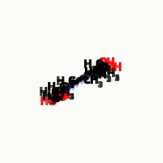 C\C(C=C=C1C(C)(C)C[C@H](O)C[C@@]1(C)O)=C/C=C/C(C)=C/C=C/C=C(C)/C=C/C=C(\C)C(=O)C[C@@]12O[C@]1(C)C[C@@H](O)CC2(C)C